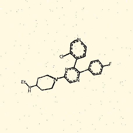 CCNC1CCN(c2cnc(-c3ccc(F)cc3)c(-c3ccncc3Cl)n2)CC1